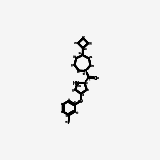 O=C([C@H]1C[C@@H](Oc2cccc(F)c2)CN1)N1CCCN(C2CCC2)CC1